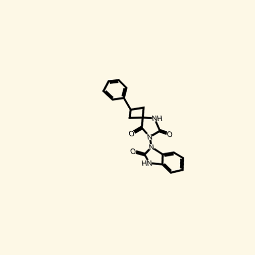 O=C1NC2(CC(c3ccccc3)C2)C(=O)N1n1c(=O)[nH]c2ccccc21